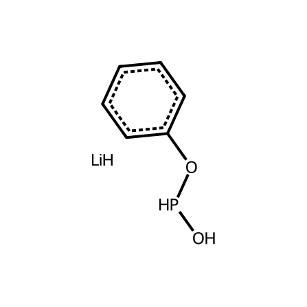 OPOc1ccccc1.[LiH]